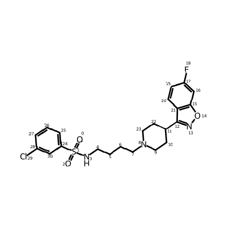 O=S(=O)(NCCCCN1CCC(c2noc3cc(F)ccc23)CC1)c1cccc(Cl)c1